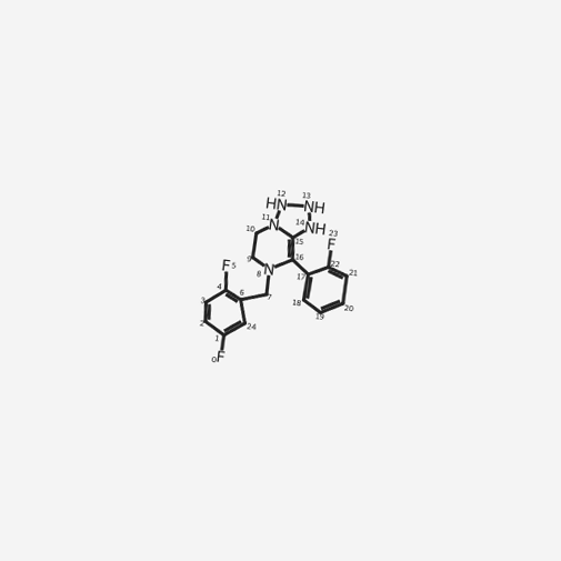 Fc1ccc(F)c(CN2CCN3NNNC3=C2c2ccccc2F)c1